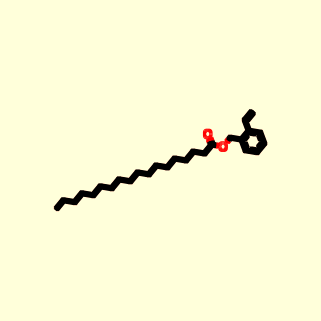 C=Cc1ccccc1COC(=O)CCCCCCCCCCCCCCCCC